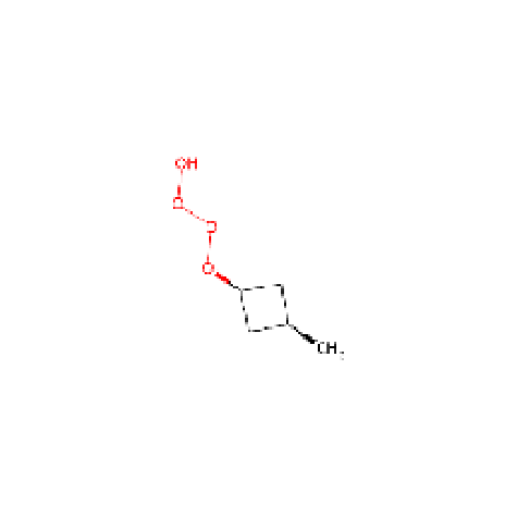 C[C@H]1C[C@@H](OOOO)C1